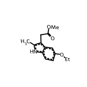 CCOc1ccc2[nH]c(C)c(CC(=O)OC)c2c1